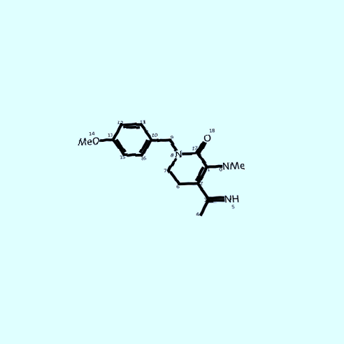 CNC1=C(C(C)=N)CCN(Cc2ccc(OC)cc2)C1=O